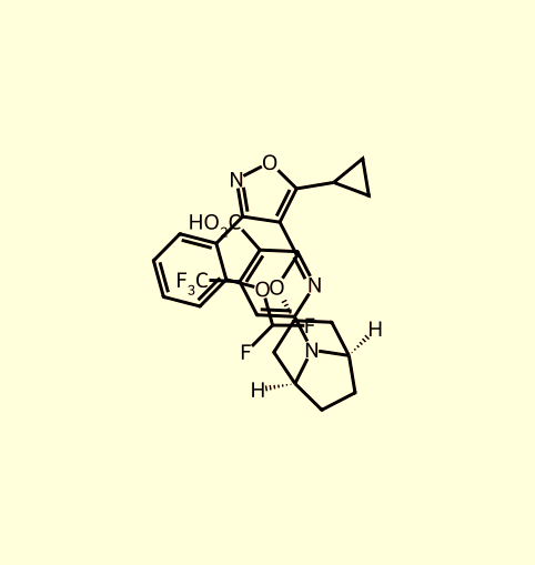 O=C(O)c1cnc(N2[C@@H]3CC[C@H]2C[C@H](OCc2c(-c4ccccc4OC(F)F)noc2C2CC2)C3)cc1C(F)(F)F